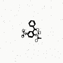 CC(=O)N(Cl)c1ccc([N+](=O)[O-])cc1C(=O)c1ccccc1